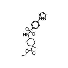 CCOC(=O)C1(C)CCC(NS(=O)(=O)c2ccc(-n3cccn3)cc2)CC1